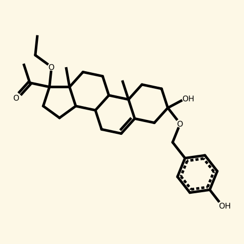 CCOC1(C(C)=O)CCC2C3CC=C4CC(O)(OCc5ccc(O)cc5)CCC4(C)C3CCC21C